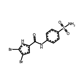 NS(=O)(=O)c1ccc(NC(=O)c2cc(Br)c(Br)[nH]2)cc1